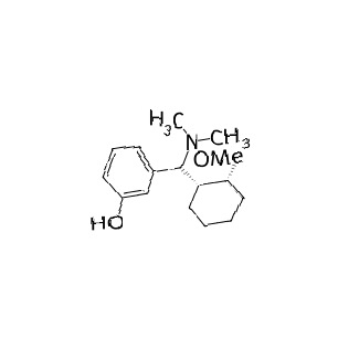 CO[C@@H]1CCCC[C@@H]1C(c1cccc(O)c1)N(C)C